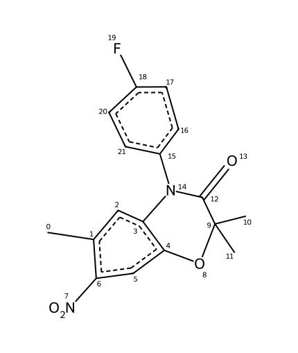 Cc1cc2c(cc1[N+](=O)[O-])OC(C)(C)C(=O)N2c1ccc(F)cc1